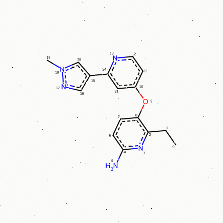 CCc1nc(N)ccc1Oc1ccnc(-c2cnn(C)c2)c1